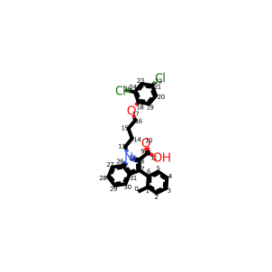 Cc1ccccc1-c1c(C(=O)O)n(CCCCOc2ccc(Cl)cc2Cl)c2ccccc12